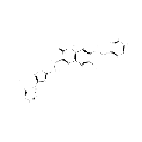 Cc1nnnn1-c1coc(N[C@@H](C)c2cc3cc(Cl)c(OCc4ccccn4)cc3[nH]c2=O)n1